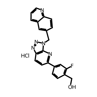 Cl.OCc1ccc(-c2ccc3nnn(Cc4ccc5ncccc5c4)c3n2)cc1F